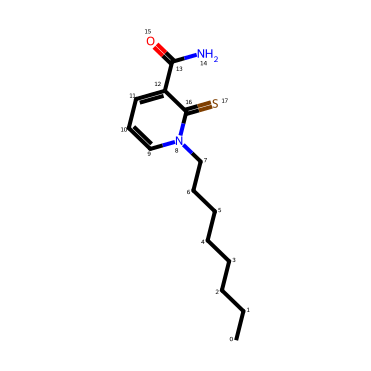 CCCCCCCCn1cccc(C(N)=O)c1=S